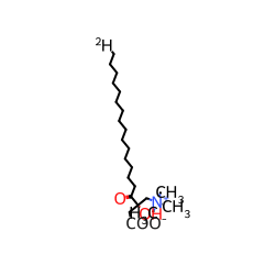 [2H]CCCCCCCCCCCCCCCC(=O)C(O)(CC(=O)[O-])C[N+](C)(C)C